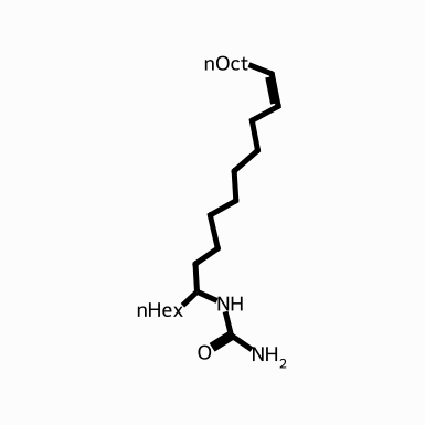 CCCCCCCC/C=C\CCCCCCCC(CCCCCC)NC(N)=O